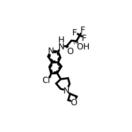 O=C(C[C@@H](O)C(F)(F)F)Nc1cc2cc(C3CCN(C4COC4)CC3)c(Cl)cc2cn1